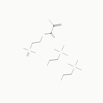 C=C(C)C(=O)OCCP(=O)([O-])[O-].C[N+](C)(C)CCO.C[N+](C)(C)CCO